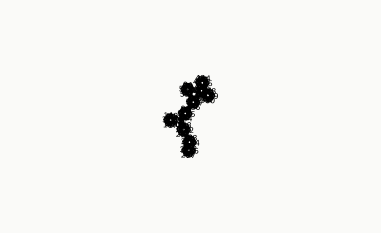 c1ccc(-c2cc(-c3ccc(N(c4ccccc4)c4ccc(-c5ccc6ccccc6c5)cc4)cc3)ccc2-c2cc3ccccc3c3ccccc23)cc1